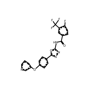 O=C(Nc1nnc(-c2ccc(Oc3cccnc3)cc2)o1)c1ccc(F)c(C(F)(F)F)c1